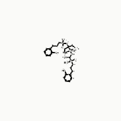 CCC(CC)(O[Si](C)(C)CCCc1ccccc1O)[Si](C)(C)OC(C)[Si](C)(C)CCCc1ccccc1O